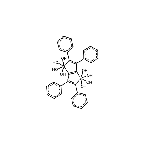 OS1(O)(O)(O)C2=C(C(c3ccccc3)=C1c1ccccc1)S(O)(O)(O)(O)C(c1ccccc1)=C2c1ccccc1